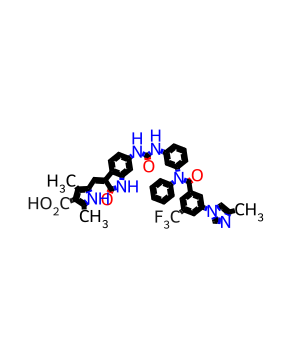 Cc1cn(-c2cc(C(=O)N(c3ccccc3)c3cccc(NC(=O)Nc4ccc5c(c4)NC(=O)/C5=C\c4[nH]c(C)c(C(=O)O)c4C)c3)cc(C(F)(F)F)c2)cn1